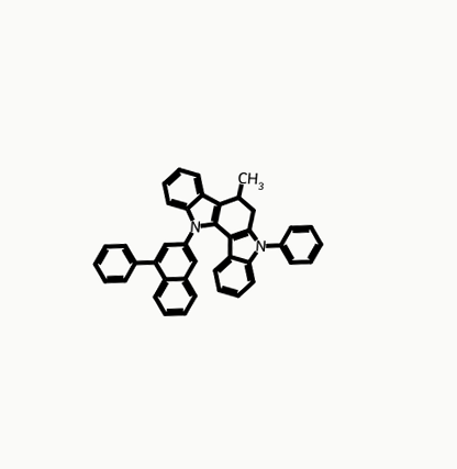 CC1Cc2c(c3ccccc3n2-c2ccccc2)-c2c1c1ccccc1n2-c1cc(-c2ccccc2)c2ccccc2c1